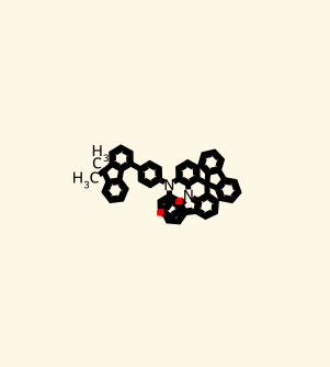 CC1(C)c2ccccc2-c2c(-c3ccc(N(c4ccccc4)c4cccc5c4-n4c6ccccc6c6cccc(c64)C54c5ccccc5-c5ccccc54)cc3)cccc21